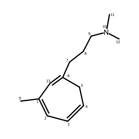 CC1=CC=CCC(CCCN(C)C)=C1